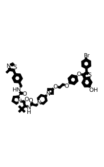 Cc1ncsc1-c1ccc(CNC(=O)[C@@H]2CCCN2C(=O)C(NC(=O)CN2CCC(N3CC(OCCOc4ccc(Oc5c(-c6ccc(Br)cc6)sc6cc(O)ccc56)cc4)C3)CC2)C(C)(C)C)cc1